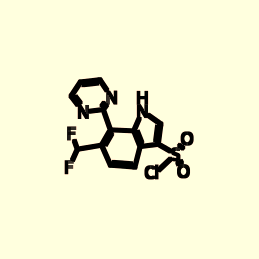 O=S(=O)(Cl)c1c[nH]c2c(-c3ncccn3)c(C(F)F)ccc12